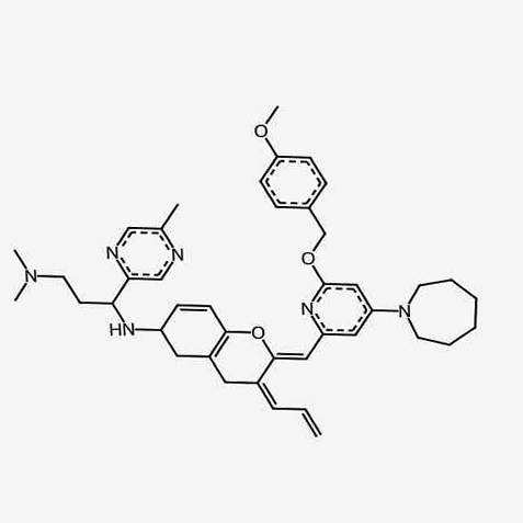 C=C/C=C1/CC2=C(C=CC(NC(CCN(C)C)c3cnc(C)cn3)C2)O/C1=C\c1cc(N2CCCCCC2)cc(OCc2ccc(OC)cc2)n1